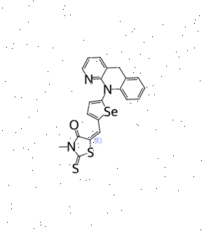 CN1C(=O)/C(=C\c2ccc(N3c4ccccc4Cc4cccnc43)[se]2)SC1=S